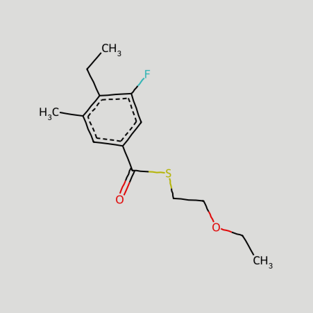 CCOCCSC(=O)c1cc(C)c(CC)c(F)c1